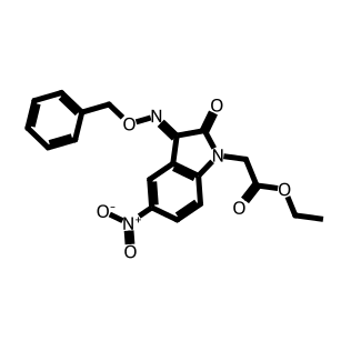 CCOC(=O)CN1C(=O)/C(=N/OCc2ccccc2)c2cc([N+](=O)[O-])ccc21